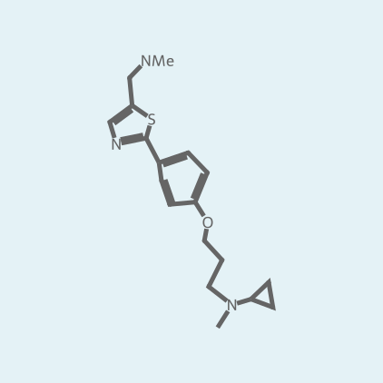 CNCc1cnc(-c2ccc(OCCCN(C)C3CC3)cc2)s1